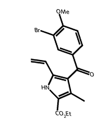 C=Cc1[nH]c(C(=O)OCC)c(C)c1C(=O)c1ccc(OC)c(Br)c1